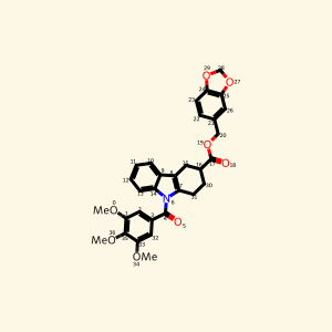 COc1cc(C(=O)n2c3c(c4ccccc42)CC(C(=O)OCc2ccc4c(c2)OCO4)CC3)cc(OC)c1OC